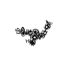 CN(C)c1ccc(-c2cccc(C[C@@H](C(N)=O)N(c3ccc(-c4nnn[nH]4)cc3)C(=O)[C@H]3CC[C@H](CNC(=O)OC(C)(C)C)CC3)c2)cn1